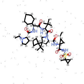 CC[C@@H]1C[C@]1(NC(=O)[C@@H]1C[C@@]2(CN1C(=O)[C@@H](NC(=O)[C@@H](NC(=O)[C@@H]1CCCN1CC)C1CCCCC1)C(C)(C)C)C(C)(C)C21CCC1)C(=O)NS(=O)(=O)C1(C)CC1